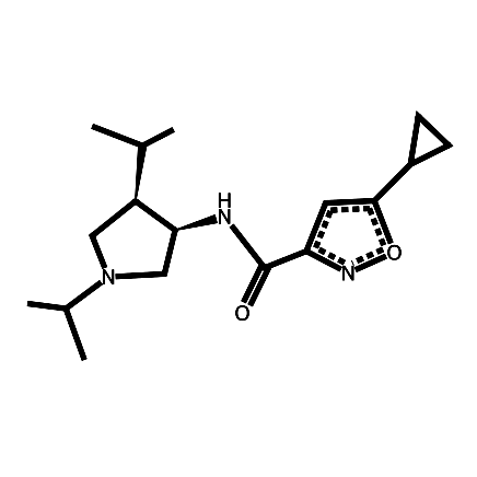 CC(C)[C@@H]1CN(C(C)C)C[C@@H]1NC(=O)c1cc(C2CC2)on1